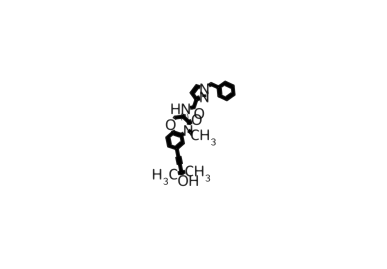 CN1C(=O)[C@H](NC(=O)c2ccn(Cc3ccccc3)n2)COc2ccc(C#CC(C)(C)O)cc21